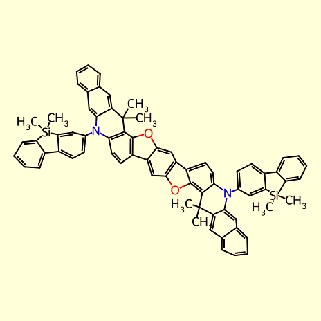 CC1(C)c2cc3ccccc3cc2N(c2ccc3c(c2)[Si](C)(C)c2ccccc2-3)c2ccc3c(oc4cc5c(cc43)oc3c4c(ccc35)N(c3ccc5c(c3)[Si](C)(C)c3ccccc3-5)c3cc5ccccc5cc3C4(C)C)c21